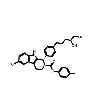 O=C(Oc1ccc(F)cc1)N1CCc2c([nH]c3ccc(Cl)cc23)[C@@H]1c1ccc(CCC[C@H](O)CO)cc1